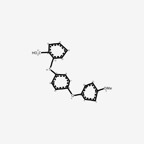 COc1ccc(Oc2ccc(Sc3ccccc3C(=O)O)cc2)cc1